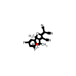 CC(C)(C)C1=C(C#N)C(=C(C#N)C#N)OC1(C)c1cc(F)cc(F)c1